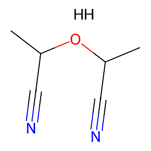 CC(C#N)OC(C)C#N.[HH]